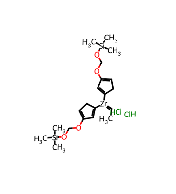 C[CH]=[Zr]([C]1=CC(OCO[Si](C)(C)C)=CC1)[C]1=CC(OCO[Si](C)(C)C)=CC1.Cl.Cl